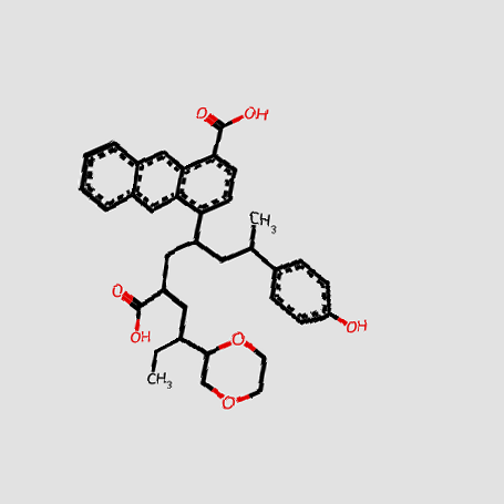 CCC(CC(CC(CC(C)c1ccc(O)cc1)c1ccc(C(=O)O)c2cc3ccccc3cc12)C(=O)O)C1COCCO1